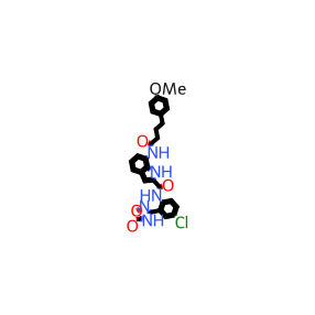 COc1ccc(CCCC(=O)Nc2cccc3cc(C(=O)Nc4ccc(Cl)cc4-c4noc(=O)[nH]4)[nH]c23)cc1